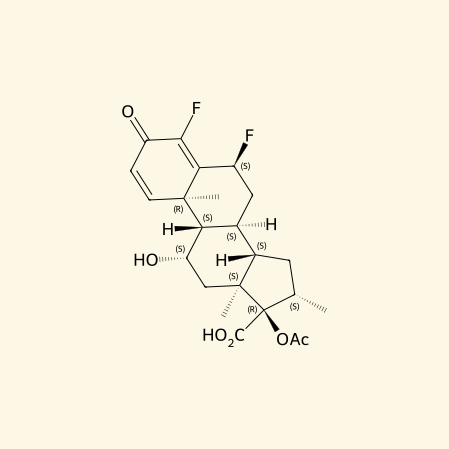 CC(=O)O[C@]1(C(=O)O)[C@@H](C)C[C@H]2[C@@H]3C[C@H](F)C4=C(F)C(=O)C=C[C@]4(C)[C@H]3[C@@H](O)C[C@@]21C